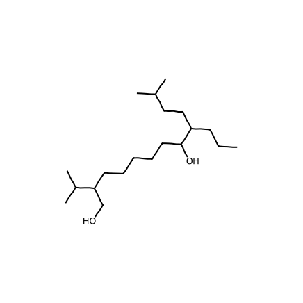 CCCC(CCC(C)C)C(O)CCCCCC(CO)C(C)C